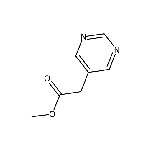 COC(=O)Cc1cncnc1